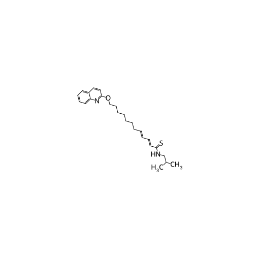 CC(C)CNC(=S)C=CC=CCCCCCCCOc1ccc2ccccc2n1